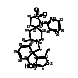 Cc1scnc1C1(CN2CC[C@]3(CCS(=O)(=O)N3c3cnccn3)C[C@@H]2C)C=CC=CC1O